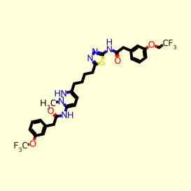 CN1NC(CCCCc2nnc(NC(=O)Cc3cccc(OCC(F)(F)F)c3)s2)=CC=C1NC(=O)Cc1cccc(OC(F)(F)F)c1